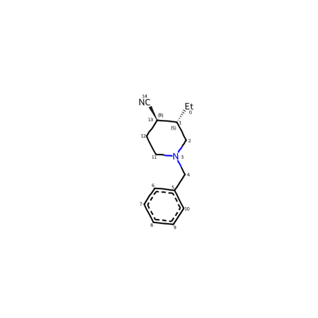 CC[C@@H]1CN(Cc2ccccc2)CC[C@H]1C#N